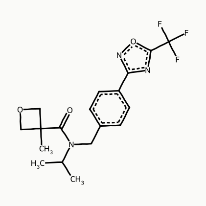 CC(C)N(Cc1ccc(-c2noc(C(F)(F)F)n2)cc1)C(=O)C1(C)COC1